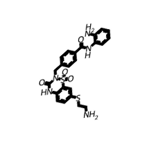 NCCSc1ccc2c(c1)S(=O)(=O)N(Cc1ccc(C(=O)Nc3ccccc3N)cc1)C(=O)N2